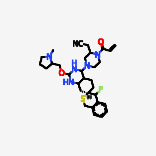 C=CC(=O)N1CCN(C2NC(OCC3CCCN3C)NC3C[C@@]4(CCC32)SCc2ccccc2C4F)CC1CC#N